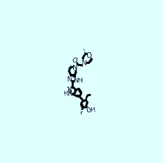 CCc1cc(O)c(F)cc1-c1ccc2c(-c3nc4c([nH]3)CN(C(=O)CN3CCO[C@@H](C)C3)CC4)n[nH]c2c1